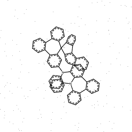 c1ccc(N(c2ccc3c(c2)C2(c4ccccc4-c4ccccc4-3)c3ccccc3-c3c2ccc2ccccc32)c2cccc3c2N(c2ccccc2)c2ccccc2-c2ccccc2-3)cc1